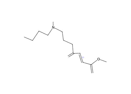 C=C(/C=C/C(=C)OC)CCCN(C)CCCC